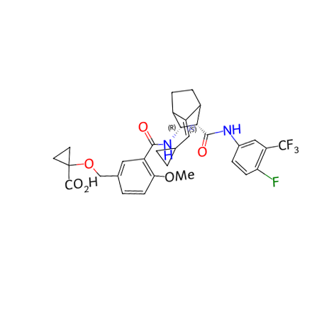 COc1ccc(COC2(C(=O)O)CC2)cc1C(=O)N[C@@H]1C2CCC(/C2=C/C2CC2)[C@@H]1C(=O)Nc1ccc(F)c(C(F)(F)F)c1